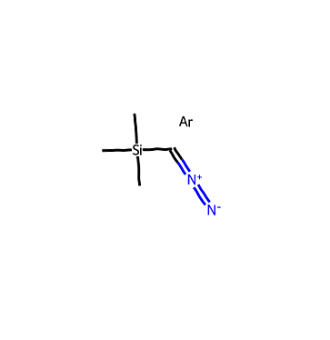 C[Si](C)(C)C=[N+]=[N-].[Ar]